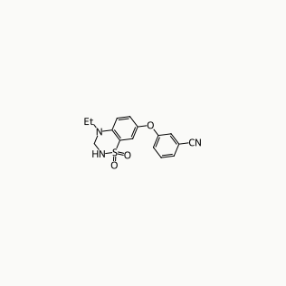 CCN1CNS(=O)(=O)c2cc(Oc3cccc(C#N)c3)ccc21